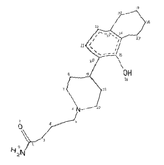 NC(=O)CCCN1CCC(c2ccc3c(c2O)CCCC3)CC1